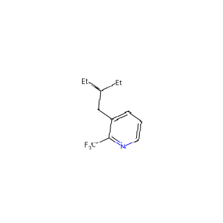 CCC(CC)Cc1cccnc1C(F)(F)F